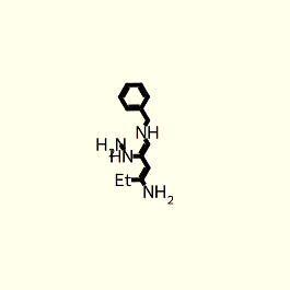 CC/C(N)=C\C(=C\NCc1ccccc1)NN